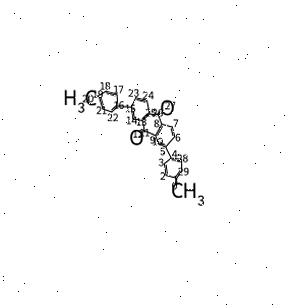 Cc1ccc(-c2ccc3c(c2)C(=O)c2cc(-c4ccc(C)cc4)ccc2C3=O)cc1